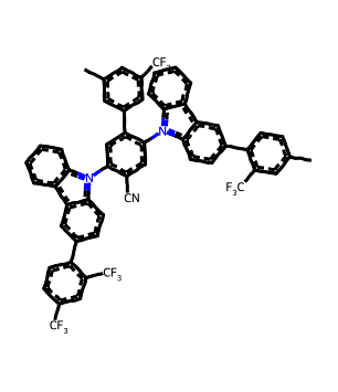 Cc1cc(-c2cc(-n3c4ccccc4c4cc(-c5ccc(C(F)(F)F)cc5C(F)(F)F)ccc43)c(C#N)cc2-n2c3ccccc3c3cc(-c4ccc(C)cc4C(F)(F)F)ccc32)cc(C(F)(F)F)c1